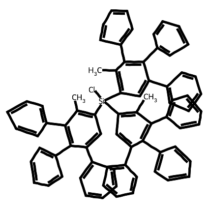 Cc1c([Si](Cl)(c2cc(-c3ccccc3)c(-c3ccccc3)c(-c3ccccc3)c2C)c2cc(-c3ccccc3)c(-c3ccccc3)c(-c3ccccc3)c2C)cc(-c2ccccc2)c(-c2ccccc2)c1-c1ccccc1